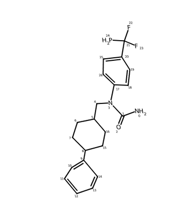 NC(=O)N(CC1CCC(c2ccccc2)CC1)c1ccc(C(F)(F)P)cc1